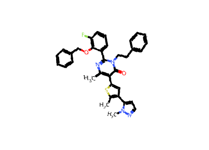 Cc1nc(-c2cccc(F)c2OCc2ccccc2)n(CCc2ccccc2)c(=O)c1-c1cc(-c2ccnn2C)c(C)s1